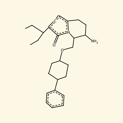 CCC(CC)c1ccc2n(c1=O)C(COC1CCC(c3ccccc3)CC1)C(N)CC2